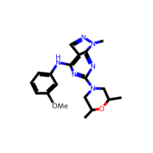 COc1cccc(Nc2nc(N3CC(C)OC(C)C3)nc3c2cnn3C)c1